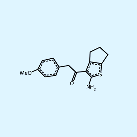 COc1ccc(CC(=O)c2c(N)sc3c2CCC3)cc1